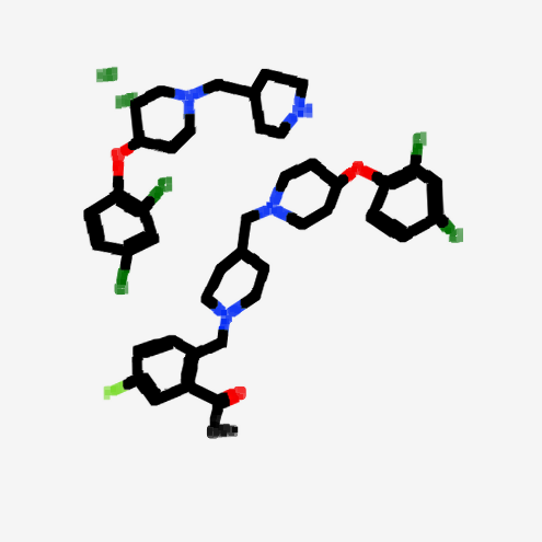 COC(=O)c1cc(F)ccc1CN1CCC(CN2CCC(Oc3ccc(Cl)cc3Cl)CC2)CC1.Cl.Cl.Clc1ccc(OC2CCN(CC3CCNCC3)CC2)c(Cl)c1